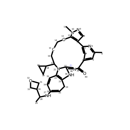 Cc1cc2cc(n1)-c1cnn(C)c1OCCCC(C1CC1)N1C3=C(CC=C(NC(C)C4COC4)C=C3)N/C1=N\C2=O